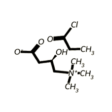 CCC(=O)Cl.C[N+](C)(C)C[C@H](O)CC(=O)[O-]